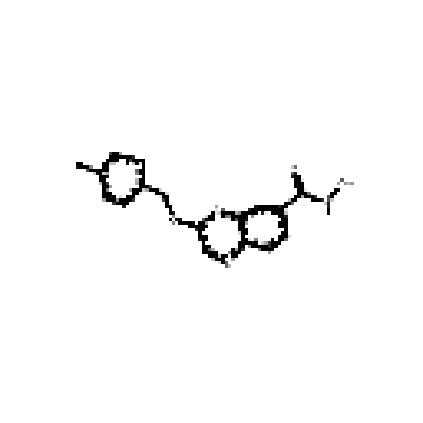 O=C(NO)c1ccc2ncc(OCc3ccc(F)cc3)nc2c1